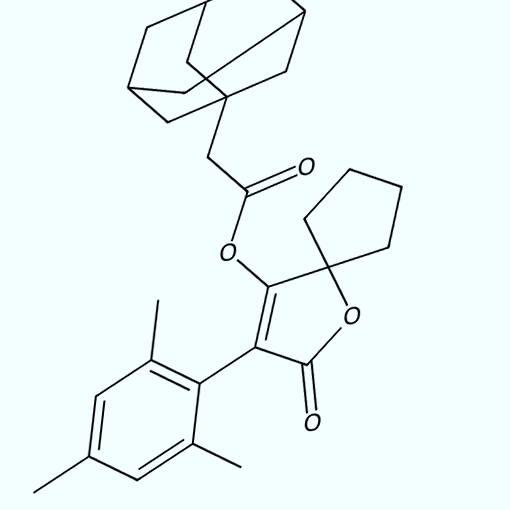 Cc1cc(C)c(C2=C(OC(=O)CC34CC5CC(CC(C5)C3)C4)C3(CCCC3)OC2=O)c(C)c1